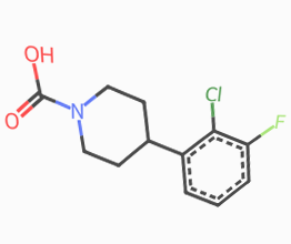 O=C(O)N1CCC(c2cccc(F)c2Cl)CC1